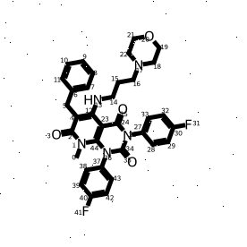 Cn1c(=O)c(Cc2ccccc2)c(NCCCN2CCOCC2)c2c(=O)n(-c3ccc(F)cc3)c(=O)n(-c3ccc(F)cc3)c21